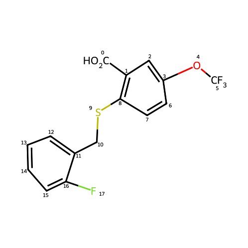 O=C(O)c1cc(OC(F)(F)F)ccc1SCc1ccccc1F